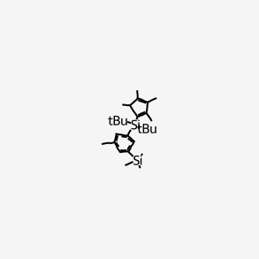 CC1=C(C)C(C)C([Si](c2cc(C)cc([Si](C)(C)C)c2)(C(C)(C)C)C(C)(C)C)=C1C